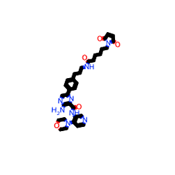 Nc1ncc(-c2ccc(CCCNC(=O)CCCCCN3C(=O)C=CC3=O)cc2)nc1C(=O)Nc1cnccc1N1CCOCC1